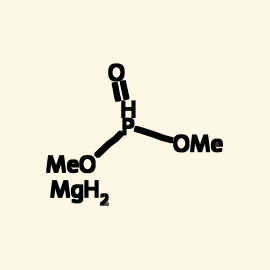 CO[PH](=O)OC.[MgH2]